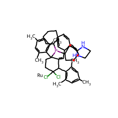 Cc1cc(C)c(C2C(=CC3C=CC=CC3=C3NCCN3)C(c3c(C)cc(C)cc3C)(P(C3CCCCC3)C3CCCCC3)CCC2(Cl)Cl)c(C)c1.[Ru]